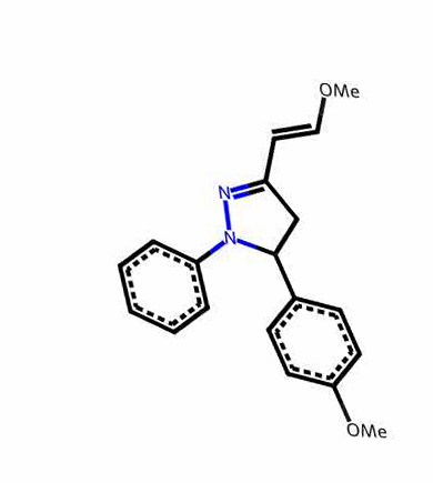 COC=CC1=NN(c2ccccc2)C(c2ccc(OC)cc2)C1